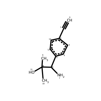 C#Cc1ccc(C(N)C(C)(C)O)cc1